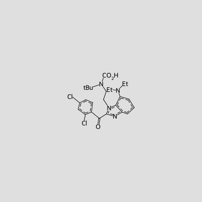 CCN(CC)c1cccc2nc(C(=O)c3ccc(Cl)cc3Cl)n(CCN(C(=O)O)C(C)(C)C)c12